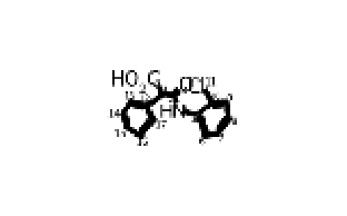 O=C(O)C(C(=O)Nc1ccccc1Cl)c1ccccc1